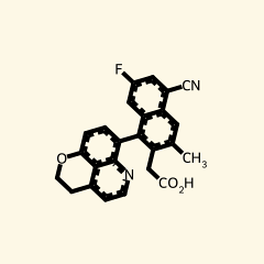 Cc1cc2c(C#N)cc(F)cc2c(-c2ccc3c4c(ccnc24)CCO3)c1CC(=O)O